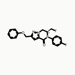 O=C1c2cc(COc3ccccc3)nn2C[C@@H](CF)N1c1ccc(F)cc1